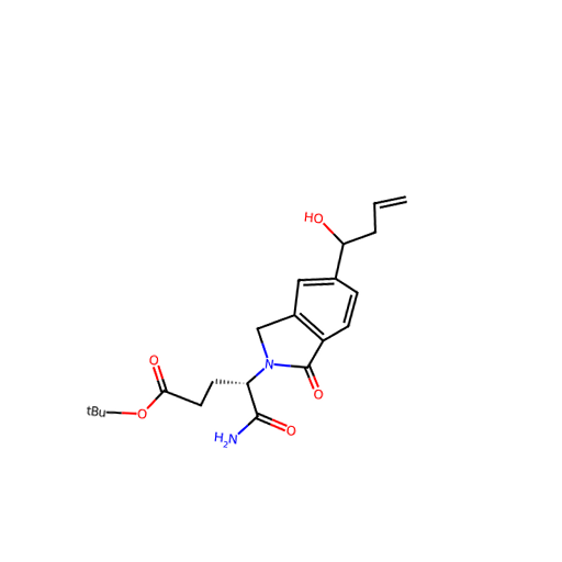 C=CCC(O)c1ccc2c(c1)CN([C@@H](CCC(=O)OC(C)(C)C)C(N)=O)C2=O